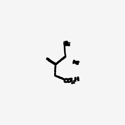 CC(CC(=O)O)CC(C)(C)C.[Ag]